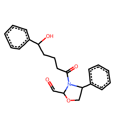 O=CC1OCC(c2ccccc2)N1C(=O)CCCC(O)c1ccccc1